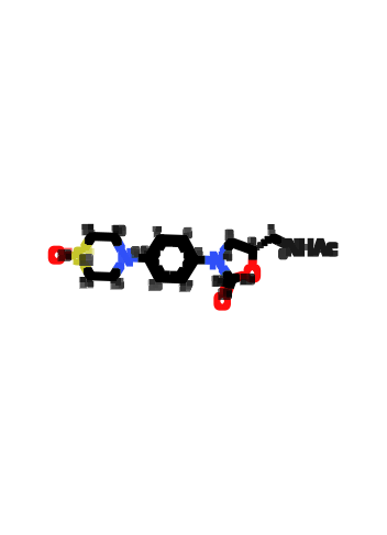 CC(=O)NC[C@H]1CN(c2ccc(N3CC[S+]([O-])CC3)cc2)C(=O)O1